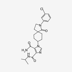 CC(C)NC(=O)c1ncn(C2CCC3(CC2)CCN(c2cccc(Cl)c2)C3=O)c1C(N)=O